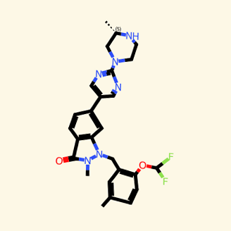 Cc1ccc(OC(F)F)c(Cn2c3cc(-c4cnc(N5CCN[C@@H](C)C5)nc4)ccc3c(=O)n2C)c1